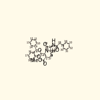 COC(=O)C1=C(C(=O)OC(c2ccccc2)c2ccccc2)N2C(=O)C(NC(=O)Cc3ccccc3)[C@H]2SC1